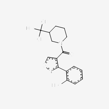 Cc1ccccc1-c1nocc1C(=O)N1CCCC(C(C)(C)O)C1